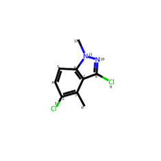 Cc1c(Cl)ccc2c1c(Cl)nn2C